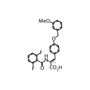 COc1cccc(COc2ccc(/C=C(\NC(=O)c3c(F)cccc3F)C(=O)O)cc2)c1